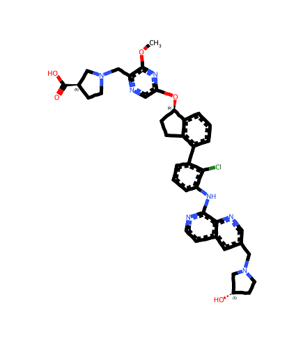 COc1nc(O[C@@H]2CCc3c(-c4cccc(Nc5nccc6cc(CN7CC[C@H](O)C7)cnc56)c4Cl)cccc32)cnc1CN1CC[C@@H](C(=O)O)C1